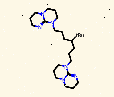 CC(C)(C)C(CCCN1CCCN2CCCN=C21)CCCN1CCCN2CCCN=C21